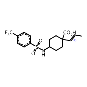 C/C=C/C1(C(=O)O)CCC(NS(=O)(=O)c2ccc(C(F)(F)F)cc2)CC1